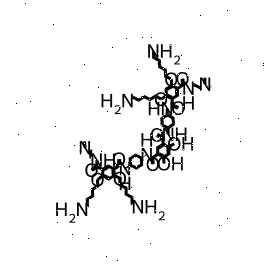 CN(C)CCNC(=O)c1cc(C(=O)NC2CCC(NC(=O)c3cc(C(=O)N[C@H]4CC[C@H](NC(=O)c5cc(C(=O)NCCN(C)C)c(OCCCCCN)cc5OCCCCCN)CC4)c(O)cc3O)CC2)c(OCCCCCN)cc1OCCCCCN